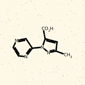 Cc1cc(C(=O)O)n(-c2cnccn2)n1